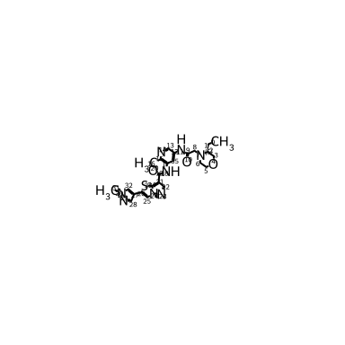 CC[C@H]1COCCN1CC(=O)Nc1cnc(C)c(NC(=O)c2cnn3cc(-c4cnn(C)c4)sc23)c1